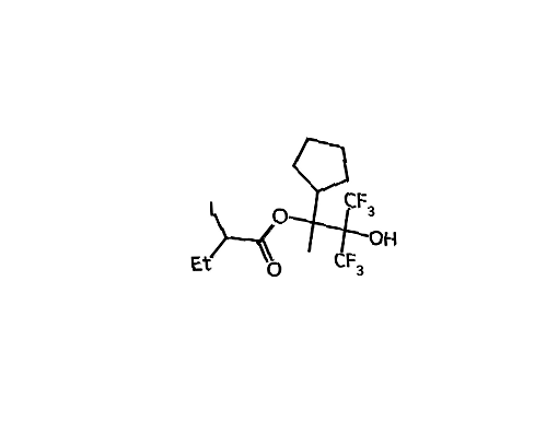 CCC(I)C(=O)OC(C)(C1CCCC1)C(O)(C(F)(F)F)C(F)(F)F